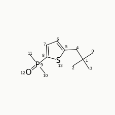 CC(C)(C)Cc1ccc(P(C)(C)=O)s1